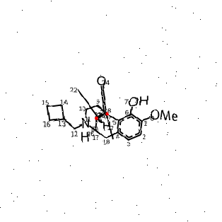 COc1ccc2c(c1O)[C@]13CCN(CC4CCC4)[C@H](C2)[C@@H]1CC(C)C(=O)C3